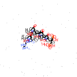 CC1(C)CC(=O)CC(C)(C)N1O.CC1(C)CC(=O)CC(C)(C)N1O.CC1(C)CC(=O)CC(C)(C)N1O.CC1(C)CC(=O)CC(C)(C)N1O.NCCNCCN.O=P(O)(O)CCCCCP(=O)(O)O